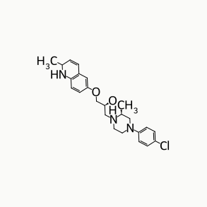 CC1C=Cc2cc(OC[C@@H](O)CN3CCN(c4ccc(Cl)cc4)C[C@@H]3C)ccc2N1